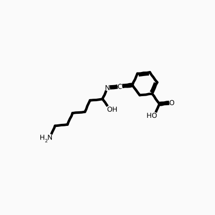 NCCCCCC(O)N=C=C1C=CC=C(C(=O)O)C1